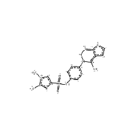 Cc1nc(S(=O)(=O)Nc2ccc(N3CN=c4occc4=C3N)cc2)cn1C